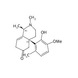 COc1ccc(C)c([C@]23CCN(C)[C@H](C)C2=CCC(=O)C3)c1O